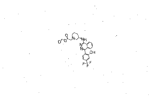 O=COC(=O)CN1CCC[C@@H](Nc2nnc(-c3ccc(C(F)(F)F)cc3O)c3ccccc23)C1